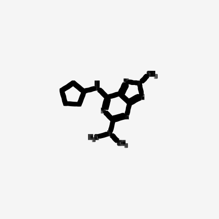 CN(C)c1nc(NC2CCCC2)c2nn(C)nc2n1